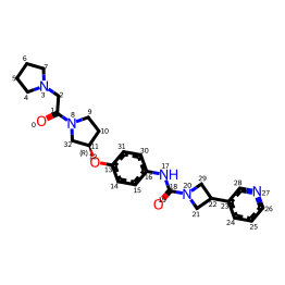 O=C(CN1CCCC1)N1CC[C@@H](Oc2ccc(NC(=O)N3CC(c4cccnc4)C3)cc2)C1